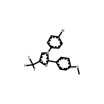 COc1ccc(-c2nc(C(F)(F)F)cn2-c2ccc(Br)cc2)cc1